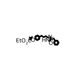 CCOC(=O)C(C)(C)Oc1ccc(CCCc2nn(Cc3ccccc3)c(=O)[nH]2)cc1